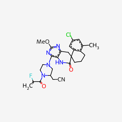 C=C(F)C(=O)N1CCN(c2nc(OC)nc3c2NC(=O)C2(CCCc4c(C)cc(Cl)cc42)C3)CC1CC#N